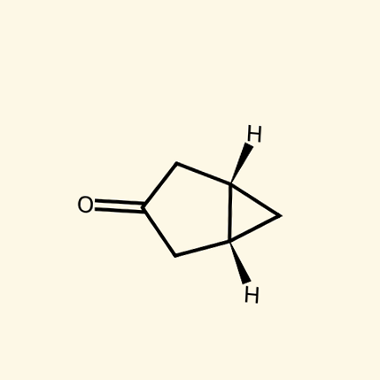 O=C1C[C@@H]2C[C@@H]2C1